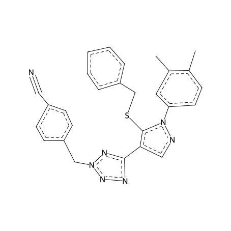 Cc1ccc(-n2ncc(-c3nnn(Cc4ccc(C#N)cc4)n3)c2SCc2ccccc2)cc1C